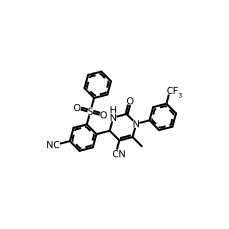 CC1=C(C#N)C(c2ccc(C#N)cc2S(=O)(=O)c2ccccc2)NC(=O)N1c1cccc(C(F)(F)F)c1